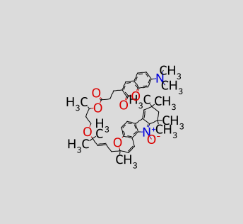 CC(CCOC(C)(C)/C=C/CC1(C)C=Cc2c(ccc3c2[N+]([O-])=C2C3=CC(C)(C)CC2(C)C)O1)OC(=O)CCc1cc2ccc(N(C)C)cc2oc1=O